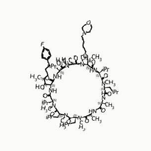 CCC[C@@H]1NC(=O)[C@H]([C@H](O)[C@H](C)CCCc2ccc(F)cc2)NC(=O)[C@H](C(C)C)N(C)C(=O)[C@H](CC(C)C)N(C)C(=O)[C@H](CC(C)C)N(C)C(=O)[C@@H](C)NC(=O)[C@H](C)NC(=O)[C@H](CC(C)C)N(C)C(=O)[C@H](C(C)C)NC(=O)[C@H]([C@@H](C)OCCCCN2CCOCC2)N(C)C(=O)[C@@H](C)N(C)C1=O